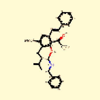 C=C(C)CCc1c(OC)cc(/C=C/c2ccccc2)c(C(=O)OC)c1OCNCc1ccccc1